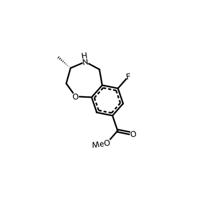 COC(=O)c1cc(F)c2c(c1)OC[C@H](C)NC2